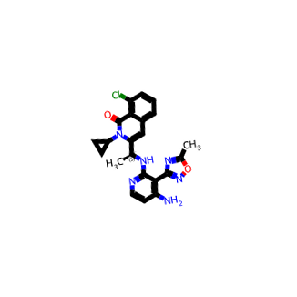 Cc1nc(-c2c(N)ccnc2N[C@@H](C)c2cc3cccc(Cl)c3c(=O)n2C2CC2)no1